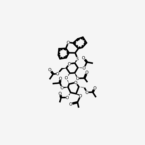 CC(=O)OC[C@H]1O[C@@H](SC2c3ccccc3Oc3ccccc32)[C@H](OC(C)=O)[C@@H](OC(C)=O)[C@@H]1O[C@@H]1O[C@H](COC(C)=O)[C@@H](OC(C)=O)[C@H](OC(C)=O)[C@H]1OC(C)=O